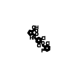 O=C(O)C1CCCC1C(=O)Nc1cc(Cl)c(OCc2c(F)cccc2Cl)c(Cl)c1